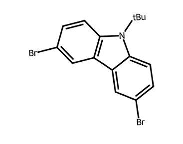 CC(C)(C)n1c2ccc(Br)cc2c2cc(Br)ccc21